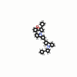 c1ccc(-c2cccc(-n3c4ccccc4c4cc(-c5ccc6c(c5)c5ccccc5n6-c5ccc(-c6ccccc6)c6oc7ccccc7c56)ccc43)c2)cc1